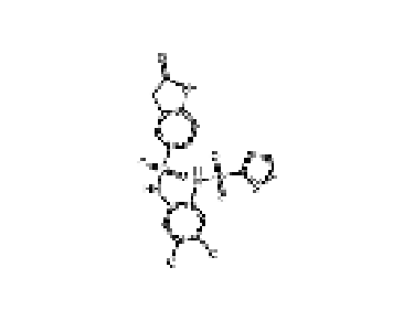 O=C1Cc2cc(S(=O)(=O)Nc3cc(Cl)c(Cl)cc3NS(=O)(=O)c3cccs3)ccc2N1